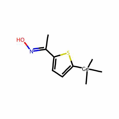 CC(=NO)c1cc[c]([Ge]([CH3])([CH3])[CH3])s1